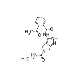 CCNC(=O)N1Cc2n[nH]c(NC(=O)c3ccccc3C(C)=O)c2C1